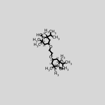 CC(C)C1(C)CC(OCCOC2CC(C)(C)N(O)C(C)(C(C)C)C2)CC(C)(C)N1O